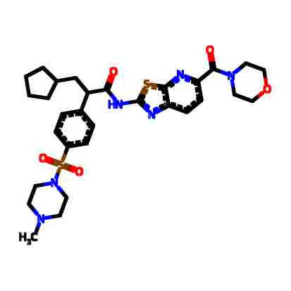 CN1CCN(S(=O)(=O)c2ccc(C(CC3CCCC3)C(=O)Nc3nc4ccc(C(=O)N5CCOCC5)nc4s3)cc2)CC1